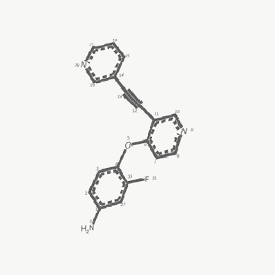 Nc1ccc(Oc2ccncc2C#Cc2cccnc2)c(F)c1